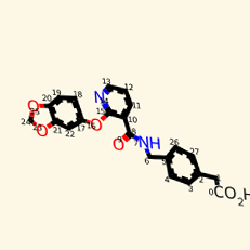 O=C(O)Cc1ccc(CNC(=O)c2cccnc2Oc2ccc3c(c2)OCO3)cc1